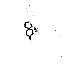 C=C.O=C1CCC2(CCOC2)CC1